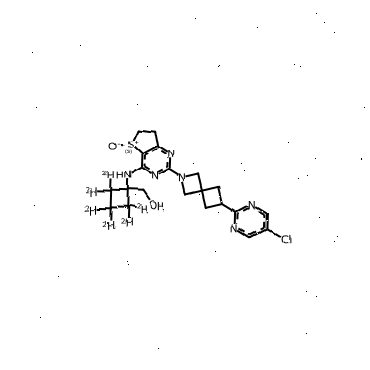 [2H]C1([2H])C([2H])([2H])C(CO)(Nc2nc(N3CC4(CC(c5ncc(Cl)cn5)C4)C3)nc3c2[S@+]([O-])CC3)C1([2H])[2H]